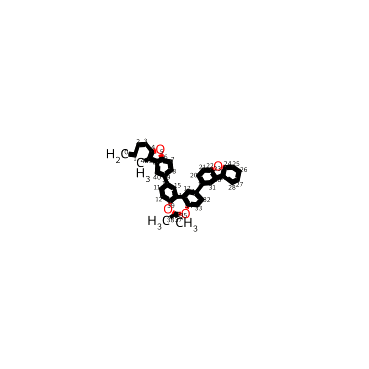 C=C/C=C\c1oc2ccc(-c3ccc4c(c3)-c3cc(-c5ccc6oc7ccccc7c6c5)ccc3OC(C)(C)O4)cc2c1C